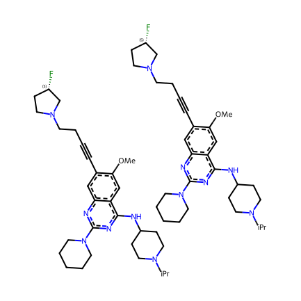 COc1cc2c(NC3CCN(C(C)C)CC3)nc(N3CCCCC3)nc2cc1C#CCCN1CC[C@H](F)C1.COc1cc2c(NC3CCN(C(C)C)CC3)nc(N3CCCCC3)nc2cc1C#CCCN1CC[C@H](F)C1